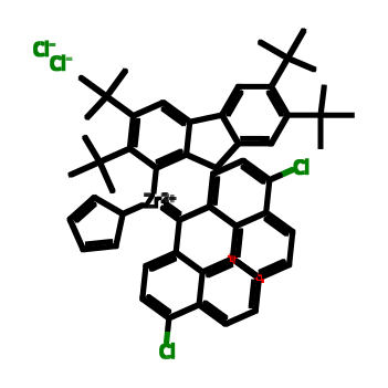 CC(C)(C)c1cc2c(cc1C(C)(C)C)-c1cc(C(C)(C)C)c(C(C)(C)C)[c]([Zr+2](=[C](c3ccc(Cl)c4ccccc34)c3ccc(Cl)c4ccccc34)[CH]3C=CC=C3)c1C2.[Cl-].[Cl-]